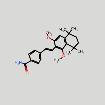 COc1cc2c(c(OC)c1/C=C/c1ccc(C(N)=O)cc1)C(C)(C)CCC2(C)C